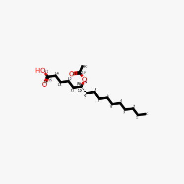 CCCCCCCCCC[C@H](CCCCC(=O)O)OC(C)=O